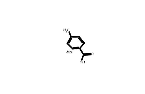 Cc1ccc(C(=O)O)cc1.[Mo]